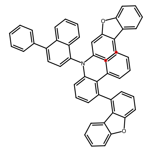 c1ccc(-c2c(-c3cccc4oc5ccccc5c34)cccc2N(c2ccc3c(c2)oc2ccccc23)c2ccc(-c3ccccc3)c3ccccc23)cc1